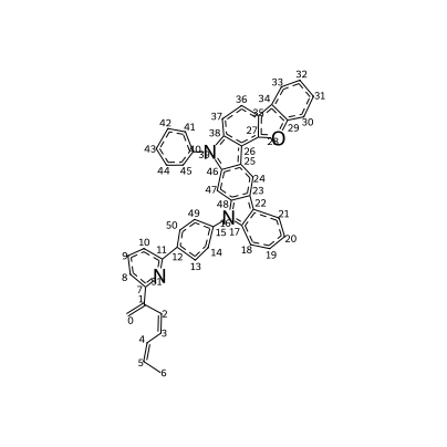 C=C(/C=C\C=C/C)c1cccc(-c2ccc(-n3c4ccccc4c4cc5c6c7oc8ccccc8c7ccc6n(-c6ccccc6)c5cc43)cc2)n1